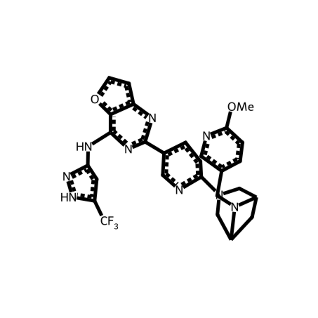 COc1ccc(CN2C3CC2CN(c2ccc(-c4nc(Nc5cc(C(F)(F)F)[nH]n5)c5occc5n4)cn2)C3)cn1